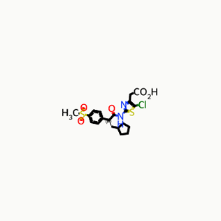 CS(=O)(=O)c1ccc([C@@H](CC2CCCC2)C(=O)Nc2nc(CC(=O)O)c(Cl)s2)cc1